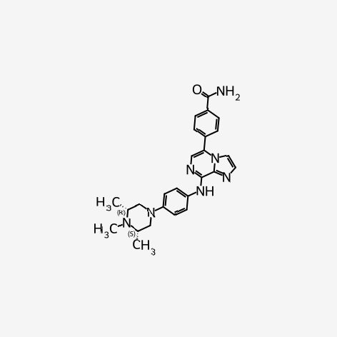 C[C@@H]1CN(c2ccc(Nc3ncc(-c4ccc(C(N)=O)cc4)n4ccnc34)cc2)C[C@H](C)N1C